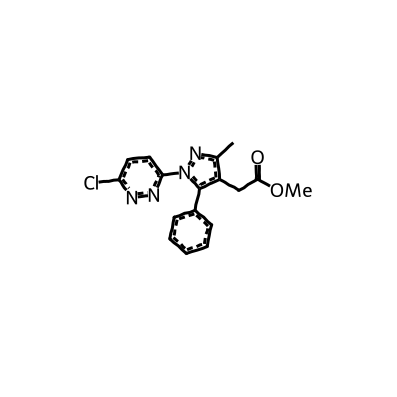 COC(=O)Cc1c(C)nn(-c2ccc(Cl)nn2)c1-c1ccccc1